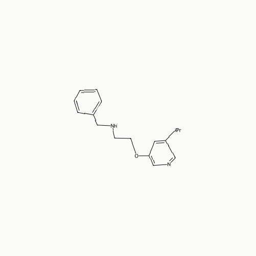 CC(C)c1cncc(OCCNCc2ccccc2)c1